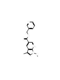 Cc1cn(SI)c2ncc(C(=O)NCc3cccnc3)cc12